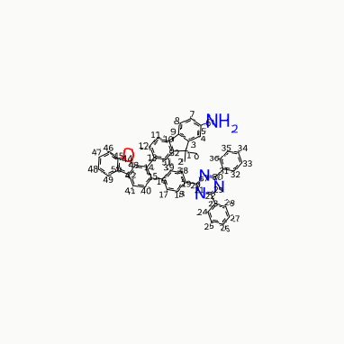 CC1(C)c2cc(N)ccc2-c2ccc(-c3c(-c4ccc(-c5nc(-c6ccccc6)nc(-c6ccccc6)n5)cc4)ccc4c3oc3ccccc34)cc21